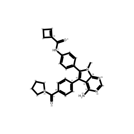 Cn1c(-c2ccc(NC(=O)C3=CCC3)cc2)c(-c2ccc(C(=O)N3CCCC3)cc2)c2c(N)ncnc21